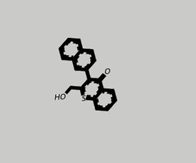 O=c1c(-c2ccc3ccccc3c2)c(CO)sc2ccccc12